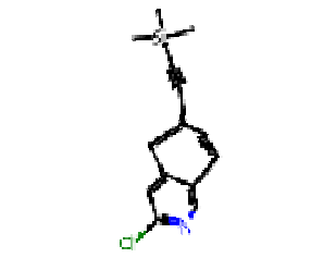 C[Si](C)(C)C#Cc1ccc2cnc(Cl)cc2c1